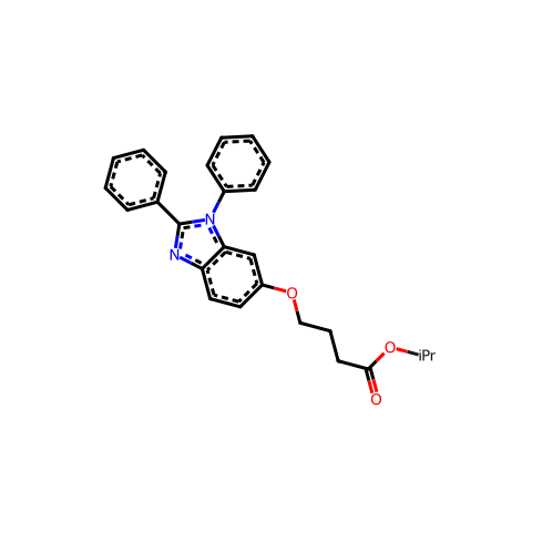 CC(C)OC(=O)CCCOc1ccc2nc(-c3ccccc3)n(-c3ccccc3)c2c1